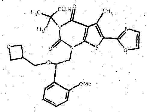 COc1ccccc1C(Cn1c(=O)n(C(C)(C)C(=O)O)c(=O)c2c(C)c(-c3ncco3)sc21)OCC1COC1